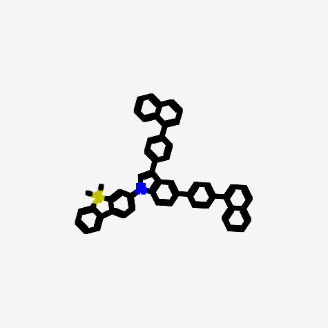 CS1(C)c2ccccc2-c2ccc(-n3cc(-c4ccc(-c5cccc6ccccc56)cc4)c4cc(-c5ccc(-c6cccc7ccccc67)cc5)ccc43)cc21